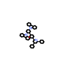 c1ccc(-c2cc(-c3ccccc3)nc(-c3ccc(-c4cc(-n5c6ccccc6c6ccccc65)ccc4-n4c5ccccc5c5ccccc54)cc3)c2)cc1